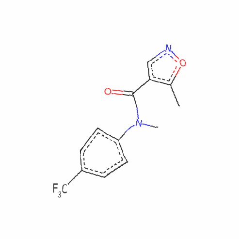 Cc1oncc1C(=O)N(C)c1ccc(C(F)(F)F)cc1